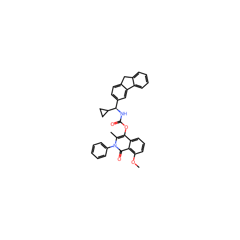 COc1cccc2c(OC(=O)N[C@H](c3ccc4c(c3)-c3ccccc3C4)C3CC3)c(C)n(-c3ccccc3)c(=O)c12